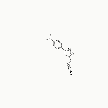 CC(C)c1ccc(C2=NOC(CN=C=S)C2)cc1